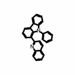 c1ccc(-n2c3ccccc3c3cccc(-c4ccc5ccccc5n4)c32)cc1